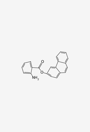 Nc1ccccc1C(=O)Oc1ccc2ccc3ccccc3c2c1